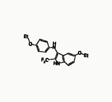 CCOc1ccc(Nc2c(C(F)(F)F)[nH]c3ccc(OCC)cc23)cc1